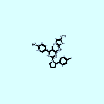 Cc1ccc(C2CCCN2c2nc(Nc3ncc(C#N)s3)c(C)c(-c3ccc(O)nc3)n2)cc1